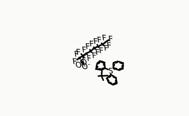 CC(C)(C)c1ccccc1[S+](c1ccccc1)c1ccccc1.O=S(=O)([O-])C(F)(F)C(F)(F)C(F)(F)C(F)(F)C(F)(F)C(F)(F)C(F)(F)C(F)(F)F